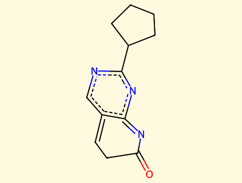 O=C1CC=c2cnc(C3CCCC3)nc2=N1